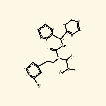 CCC(N)C(CC)N(CCc1ccnc(N)c1)C(=O)NC(C1=CC=CCC1)c1ccccc1